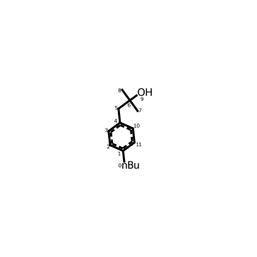 CCCCc1ccc(CC(C)(C)O)cc1